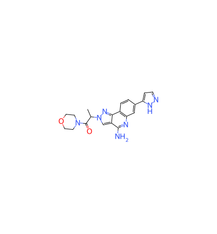 CC(C(=O)N1CCOCC1)n1cc2c(N)nc3cc(-c4ccn[nH]4)ccc3c2n1